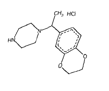 CC(c1ccc2c(c1)OCCO2)N1CCNCC1.Cl